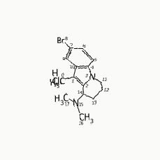 Cc1c2n(c3ccc(Br)cc13)CCCC2N(C)C.Cl